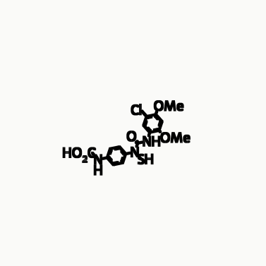 COc1cc(OC)c(NC(=O)N(S)c2ccc(NC(=O)O)cc2)cc1Cl